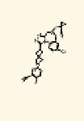 N#Cc1nc(N2CC3(CC(c4nnc5n4-c4ccc(Cl)cc4CN(CC4(C#N)CC4)C5)C3)C2)ccc1F